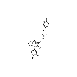 O=C(NCCCN1CCC(c2ccc(F)nc2)CC1)C(c1ccc(F)c(F)c1)N1CCCC1=O